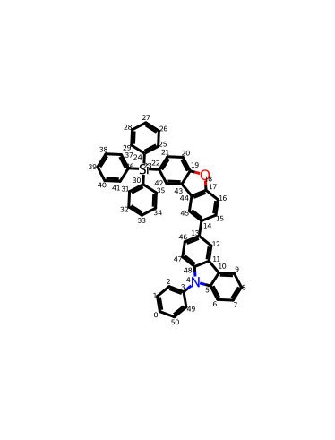 c1ccc(-n2c3ccccc3c3cc(-c4ccc5oc6ccc([Si](c7ccccc7)(c7ccccc7)c7ccccc7)cc6c5c4)ccc32)cc1